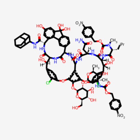 CC(C)C[C@H](C(=O)N[C@H]1C(=O)N[C@@H](CC(N)=O)C(=O)N[C@H]2C(=O)N[C@H]3C(=O)N[C@H](C(=O)N[C@H](C(=O)NC4C5CC6CC(C5)CC4C6)c4cc(O)cc5c4-c4cc3ccc4C5(O)O)[C@H](O)c3ccc(c(Cl)c3)Oc3cc2cc(c3O[C@@H]2O[C@H](CO)[C@@H](O)[C@H](O)[C@H]2O[C@H]2C[C@](C)(NC(=O)OCc3ccc([N+](=O)[O-])cc3)[C@H](O)[C@H](C)O2)Oc2ccc(cc2Cl)[C@H]1O)N(C)C(=O)OCc1ccc([N+](=O)[O-])cc1